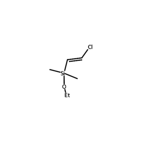 CCO[Si](C)(C)C=CCl